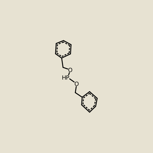 c1ccc(COPOCc2ccccc2)cc1